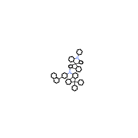 c1ccc(N2c3ccccc3C3(c4ccccc4-c4c(N(c5ccc(-c6cccc7ccccc67)cc5)c5cccc6c5-c5ccccc5C6(c5ccccc5)c5ccccc5)cccc43)c3ccccc32)cc1